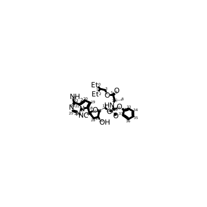 CCC(CC)COC(=O)[C@H](C)NP(=O)(OC[C@H]1O[C@@](C#N)(c2ccc3c(N)ncnn23)C[C@@H]1O)Oc1ccccc1